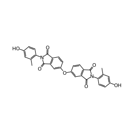 Cc1cc(O)ccc1N1C(=O)c2ccc(Oc3ccc4c(c3)C(=O)N(c3ccc(O)cc3C)C4=O)cc2C1=O